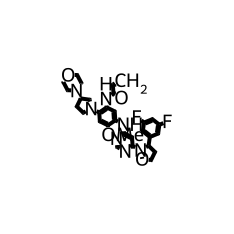 C=CC(=O)Nc1cc(Nc2cc(N3OCCC3c3cc(F)cc(F)c3)ncn2)c(OC)cc1N1CCC(N2CCOCC2)C1